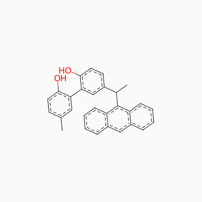 Cc1ccc(O)c(-c2cc(C(C)c3c4ccccc4cc4ccccc34)ccc2O)c1